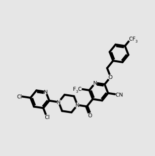 N#Cc1cc(C(=O)N2CCN(c3ncc(Cl)cc3Cl)CC2)c(C(F)(F)F)nc1OCc1ccc(C(F)(F)F)cc1